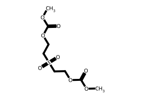 COC(=O)OCCS(=O)(=O)CCOC(=O)OC